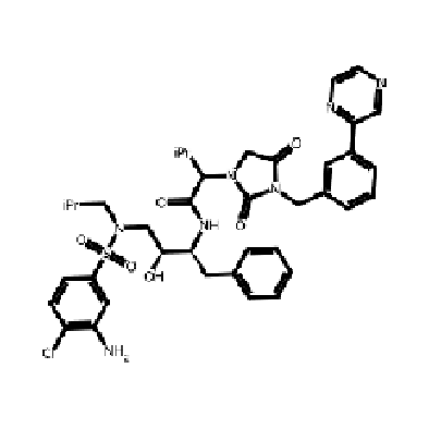 CC(C)CN(C[C@H](O)[C@H](Cc1ccccc1)NC(=O)C(C(C)C)N1CC(=O)N(Cc2cccc(-c3cnccn3)c2)C1=O)S(=O)(=O)c1ccc(Cl)c(N)c1